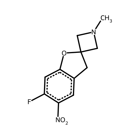 CN1CC2(Cc3cc([N+](=O)[O-])c(F)cc3O2)C1